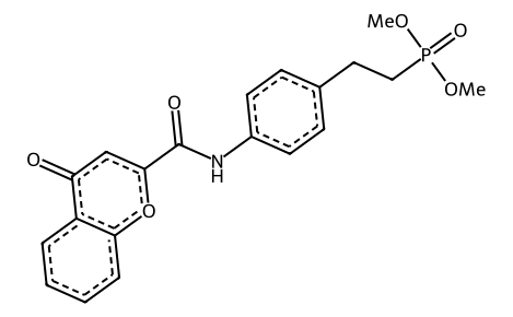 COP(=O)(CCc1ccc(NC(=O)c2cc(=O)c3ccccc3o2)cc1)OC